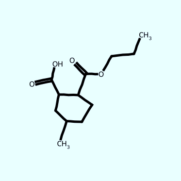 CCCOC(=O)C1CCC(C)CC1C(=O)O